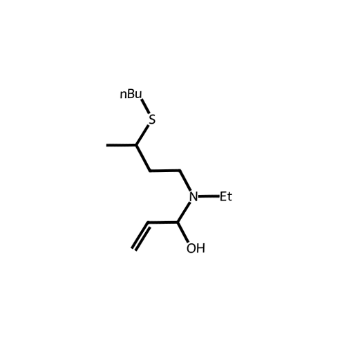 C=CC(O)N(CC)CCC(C)SCCCC